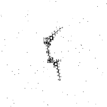 CCCCCCCCc1ccc(CNS(=O)(=O)CCCCOCCCCS(=O)(=O)NCc2ccc(CCCCCCCC)cc2S)c(S)c1